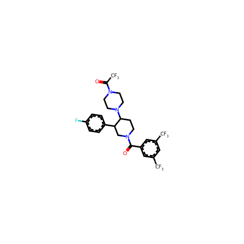 O=C(c1cc(C(F)(F)F)cc(C(F)(F)F)c1)N1CCC(N2CCN(C(=O)C(F)(F)F)CC2)C(c2ccc(F)cc2)C1